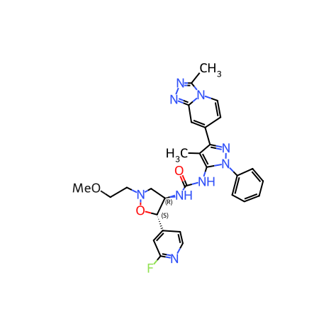 COCCN1C[C@@H](NC(=O)Nc2c(C)c(-c3ccn4c(C)nnc4c3)nn2-c2ccccc2)[C@H](c2ccnc(F)c2)O1